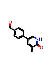 Cc1cc(-c2ccc(C=O)cc2)c[nH]c1=O